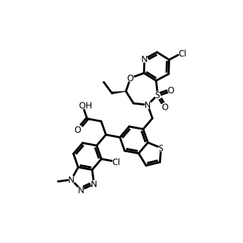 CC[C@@H]1CN(Cc2cc(C(CC(=O)O)c3ccc4c(nnn4C)c3Cl)cc3ccsc23)S(=O)(=O)c2cc(Cl)cnc2O1